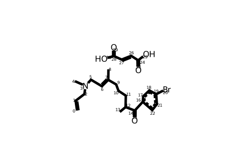 C=CCN(C)CC=C(C)CCCC(C)C(=O)c1ccc(Br)cc1.O=C(O)C=CC(=O)O